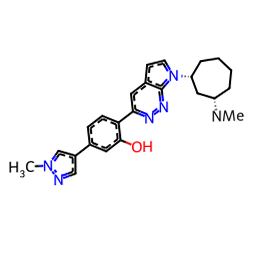 CN[C@H]1CCCC[C@@H](n2ccc3cc(-c4ccc(-c5cnn(C)c5)cc4O)nnc32)C1